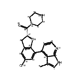 Cc1c[nH]c2nccc(-c3cc(Cl)cc4c3O[C@@H](C(=O)N3CCNCC3)C4)c12